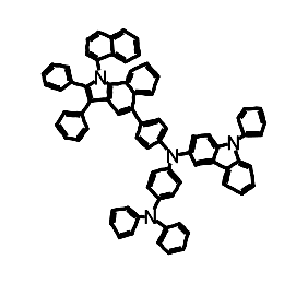 c1ccc(-c2c(-c3ccccc3)n(-c3cccc4ccccc34)c3c2cc(-c2ccc(N(c4ccc(N(c5ccccc5)c5ccccc5)cc4)c4ccc5c(c4)c4ccccc4n5-c4ccccc4)cc2)c2ccccc23)cc1